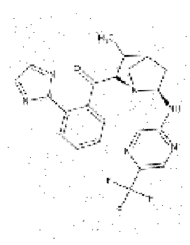 CC1C2C[C@@H](Nc3cnc(C(F)(F)F)cn3)[N@](C2)C1C(=O)c1ccccc1-n1nccn1